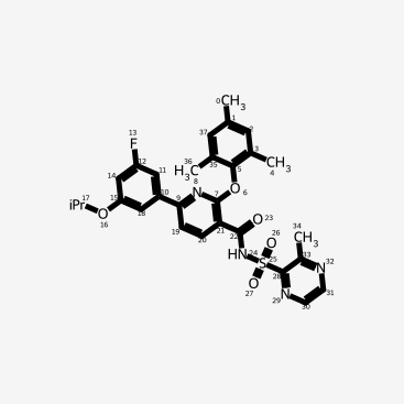 Cc1cc(C)c(Oc2nc(-c3cc(F)cc(OC(C)C)c3)ccc2C(=O)NS(=O)(=O)c2nccnc2C)c(C)c1